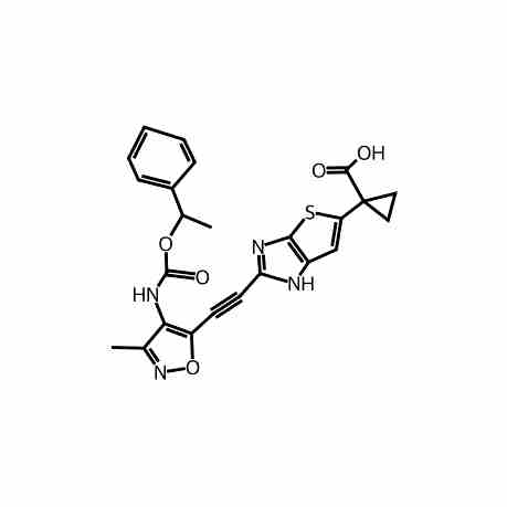 Cc1noc(C#Cc2nc3sc(C4(C(=O)O)CC4)cc3[nH]2)c1NC(=O)OC(C)c1ccccc1